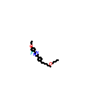 C=CCOc1ccc(-c2ncc(-c3ccc(/C=C/CCCC(C)OCCCCC)cc3)cn2)c(F)c1